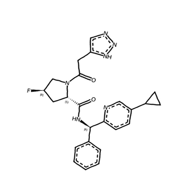 O=C(N[C@H](c1ccccc1)c1ccc(C2CC2)cn1)[C@@H]1C[C@@H](F)CN1C(=O)Cc1cnn[nH]1